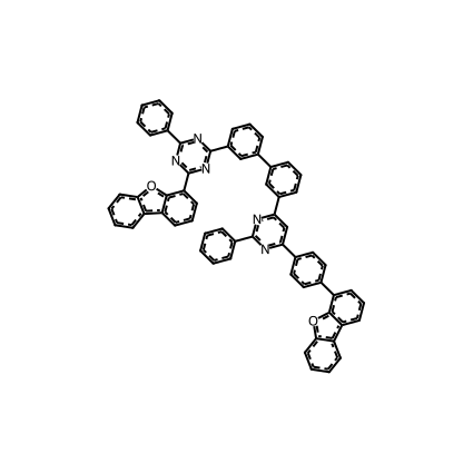 c1ccc(-c2nc(-c3ccc(-c4cccc5c4oc4ccccc45)cc3)cc(-c3cccc(-c4cccc(-c5nc(-c6ccccc6)nc(-c6cccc7c6oc6ccccc67)n5)c4)c3)n2)cc1